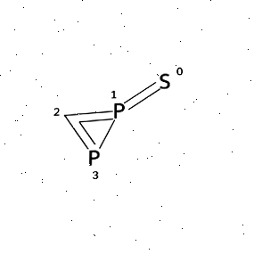 S=P1=C=P1